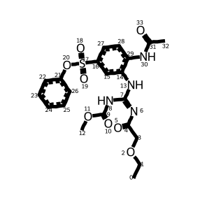 CCOCC(=O)/N=C(\NC(=O)OC)Nc1cc(S(=O)(=O)Oc2ccccc2)ccc1NC(C)=O